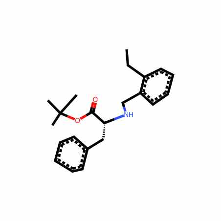 CCc1ccccc1CN[C@H](Cc1ccccc1)C(=O)OC(C)(C)C